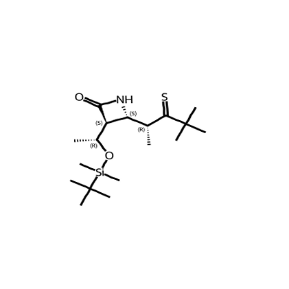 C[C@@H](O[Si](C)(C)C(C)(C)C)[C@H]1C(=O)N[C@@H]1[C@@H](C)C(=S)C(C)(C)C